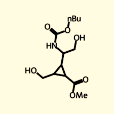 CCCCOC(=O)NC(CO)C1C(CO)C1C(=O)OC